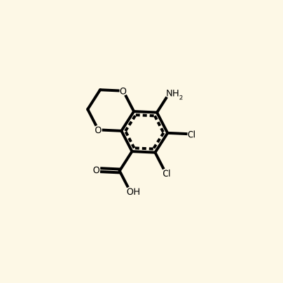 Nc1c(Cl)c(Cl)c(C(=O)O)c2c1OCCO2